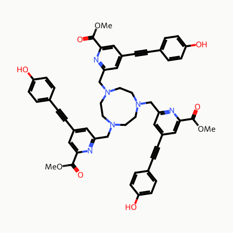 COC(=O)c1cc(C#Cc2ccc(O)cc2)cc(CN2CCN(Cc3cc(C#Cc4ccc(O)cc4)cc(C(=O)OC)n3)CCN(Cc3cc(C#Cc4ccc(O)cc4)cc(C(=O)OC)n3)CC2)n1